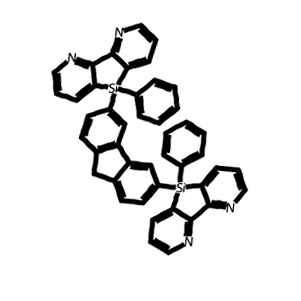 c1ccc([Si]2(c3ccc4c(c3)-c3cc([Si]5(c6ccccc6)c6cccnc6-c6ncccc65)ccc3C4)c3cccnc3-c3ncccc32)cc1